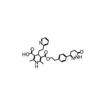 CC1=C(C(=O)O)C(CCc2ccccn2)C(C(=O)OCCc2ccc(C3=NNC(=O)CC3)cc2)=C(C)N1